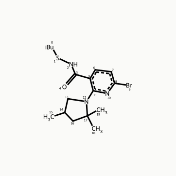 CCC(C)SNC(=O)c1ccc(Br)nc1N1CC(C)CC1(C)C